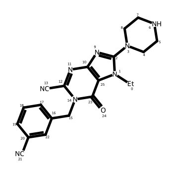 CCn1c(N2CCNCC2)nc2nc(C#N)n(Cc3cccc(C#N)c3)c(=O)c21